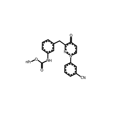 CCCOC(=O)Nc1cccc(Cc2nn(-c3cccc(C#N)c3)ccc2=O)c1